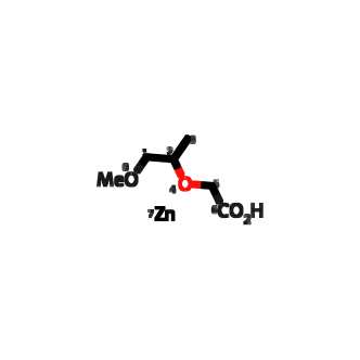 COCC(C)OCC(=O)O.[Zn]